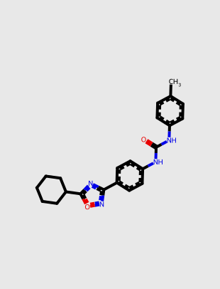 Cc1ccc(NC(=O)Nc2ccc(-c3noc(C4CCCCC4)n3)cc2)cc1